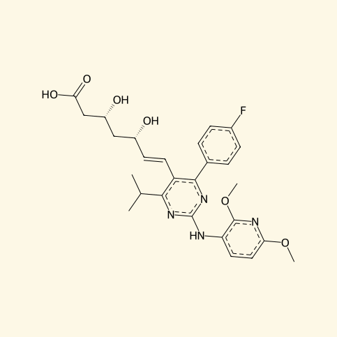 COc1ccc(Nc2nc(-c3ccc(F)cc3)c(/C=C/[C@@H](O)C[C@@H](O)CC(=O)O)c(C(C)C)n2)c(OC)n1